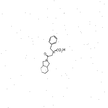 O=C(O)[C@@H](CC(=O)N1CC2CCCCC2C1)Cc1ccccc1